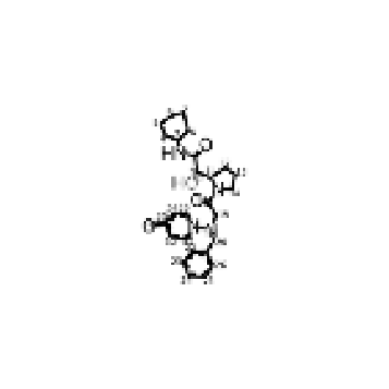 O=C(NC1CCCCC1)C(O)C1CCCN1C(=O)CN(Cc1ccccc1)n1ccc(=O)cc1